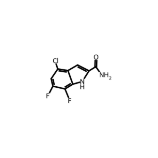 NC(=O)c1cc2c(Cl)cc(F)c(F)c2[nH]1